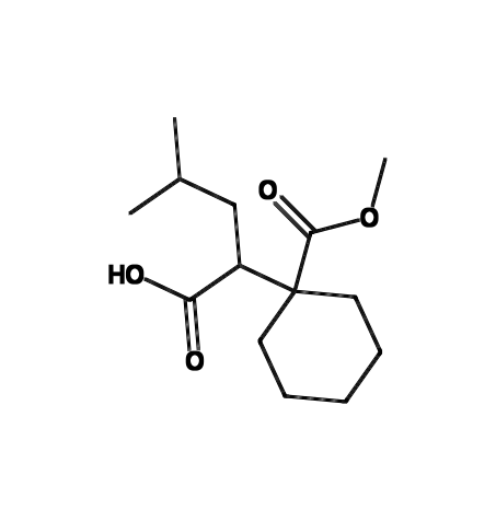 COC(=O)C1(C(CC(C)C)C(=O)O)CCCCC1